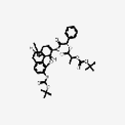 CC(OC(=O)OC(C)(C)C)C(=O)O[C@H](C(=O)OC1=CC[C@@]2(O)[C@H]3Cc4ccc(OC(=O)OC(C)(C)C)c5c4[C@@]2(CCN3C)[C@H]1O5)c1ccccc1